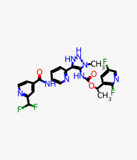 C[C@@H](OC(=O)NC1=C(c2ccc(NC(=O)c3ccnc(C(F)F)c3)cn2)NNN1C)c1cc(F)cnc1F